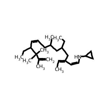 C=C(C)C(C)(C)C(/C=C\CC(C)CC(CC)CC(/C=C\NC1CC1)=C/C)CC